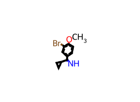 COc1ccc(C(=N)C2CC2)cc1Br